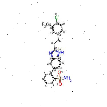 NS(=O)(=O)c1ccccc1-c1ccc2[nH]c(CCc3ccc(Cl)c(C(F)(F)F)c3)nc2c1